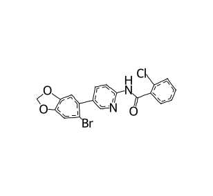 O=C(Nc1ccc(-c2cc3c(cc2Br)OCO3)cn1)c1ccccc1Cl